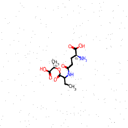 CCC(NC(=O)CC[C@H](N)C(=O)O)C(=O)O[C@@H](C)C(=O)O